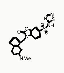 CNC1CCc2cccc(Cn3c(=O)oc4cc(S(=O)(=O)Nc5ncns5)ccc43)c2C1